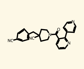 N#Cc1ccc(CC2(C#N)CCN(C(=O)c3cccnc3-c3ccncc3)CC2)cc1